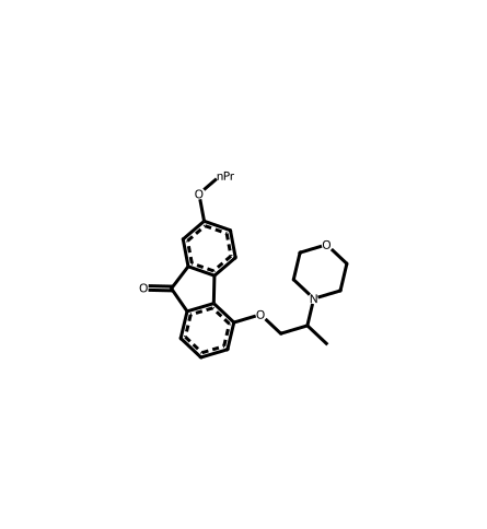 CCCOc1ccc2c(c1)C(=O)c1cccc(OCC(C)N3CCOCC3)c1-2